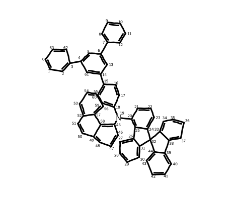 c1ccc(-c2cc(-c3ccccc3)cc(-c3ccc(N(c4cccc5c4-c4ccccc4C54c5ccccc5-c5ccccc54)c4cccc5ccc6ccccc6c45)cc3)c2)cc1